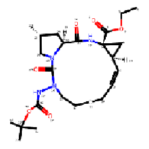 CCOC(=O)[C@@]12C[C@H]1/C=C\CCCCN(NC(=O)OC(C)(C)C)C(=O)N1C[C@H](C)C[C@H]1C(=O)N2